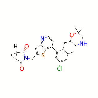 Cc1cc(Cl)cc(-c2ccnc3cc(CN4C(=O)C5C[C@H]5C4=O)sc23)c1C[C@@H]1CNCC(C)(C)O1